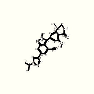 COc1cc(-c2c3c(C#N)cc(-c4cnn(C(C)C)c4)cc3nn2C)cc2c1C(=O)NC[C@@H]2C